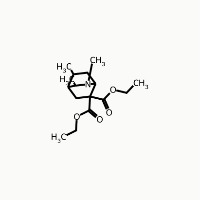 CCOC(=O)C1(C(=O)OCC)CC2C(C)CC1N(C)C2C